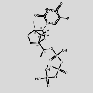 C[C@H](OP(=O)(O)OP(=O)(O)OP(=O)(O)O)[C@@]12CO[C@@H]([C@H](n3cc(F)c(=O)[nH]c3=O)O1)[C@@H]2O